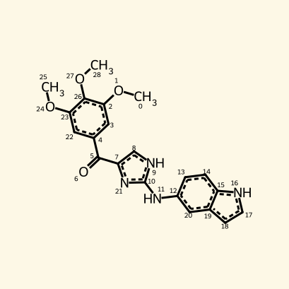 COc1cc(C(=O)c2c[nH]c(Nc3ccc4[nH]ccc4c3)n2)cc(OC)c1OC